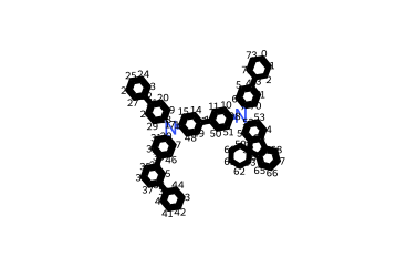 C1=CCC(c2ccc(N(c3ccc(-c4ccc(N(c5ccc(-c6ccccc6)cc5)c5ccc(-c6cccc(-c7ccccc7)c6)cc5)cc4)cc3)c3ccc4c(c3)C3(CCCCC3)c3ccccc3-4)cc2)C=C1